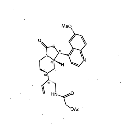 C=C[C@@H](CNC(=O)COC(C)=O)[C@H]1CCN2C(=O)S[C@H](c3ccnc4ccc(OC)cc34)[C@@H]2C1